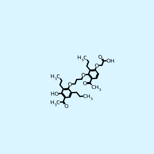 CCCc1cc(C(C)=O)c(O)c(CCC)c1OCCCOc1c(C(C)=O)ccc(OCC(=O)O)c1CCC